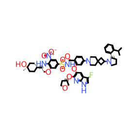 CC(C)c1ccccc1[C@@H]1CCCN1C1CC2(CCN(c3ccc(C(=O)NS(=O)(=O)c4cc5c(c([N+](=O)[O-])c4)N[C@@H]([C@H]4CC[C@](C)(O)CC4)CO5)c(Oc4cc5c(F)c[nH]c5nc4O[C@@H]4CCOC4)c3)CC2)C1